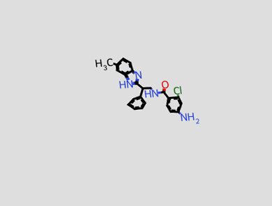 Cc1ccc2nc(C(CNC(=O)c3ccc(N)cc3Cl)c3ccccc3)[nH]c2c1